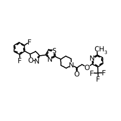 Cc1ccc(C(F)(F)F)c(OCC(=O)N2CCC(c3nc(C4=NOC(c5c(F)cccc5F)C4)cs3)CC2)n1